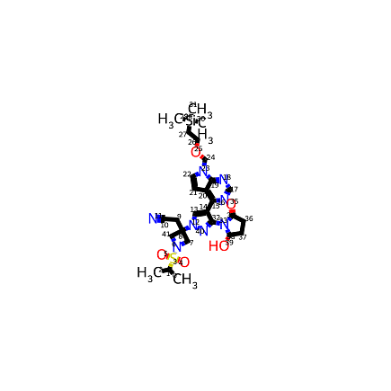 CC(C)S(=O)(=O)N1CC(CC#N)(n2cc(-c3ncnc4c3ccn4COCC[Si](C)(C)C)c(N3C(=O)CCC3O)n2)C1